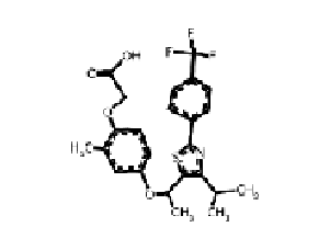 Cc1cc(OC(C)c2sc(-c3ccc(C(F)(F)F)cc3)nc2C(C)C)ccc1OCC(=O)O